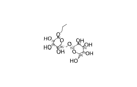 CCCO[C@H]1O[C@H](CO[C@H]2O[C@H](CO)[C@@H](O)[C@H](O)[C@@H]2O)[C@@H](O)[C@H](O)[C@@H]1O